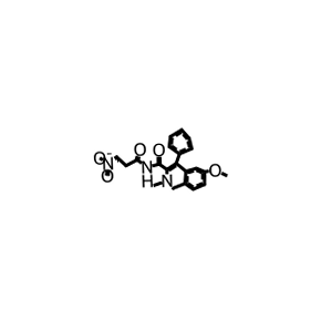 COc1ccc2c(c1)C(c1ccccc1)=C(C(=O)NC(=O)CC[N+](=O)[O-])N(C)C2